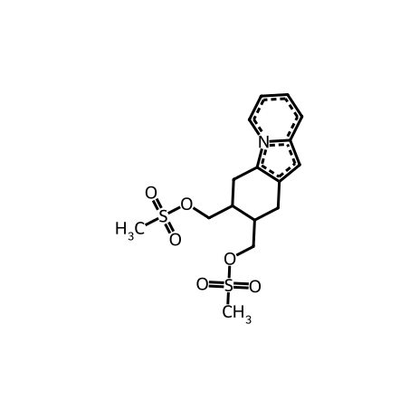 CS(=O)(=O)OCC1Cc2cc3ccccn3c2CC1COS(C)(=O)=O